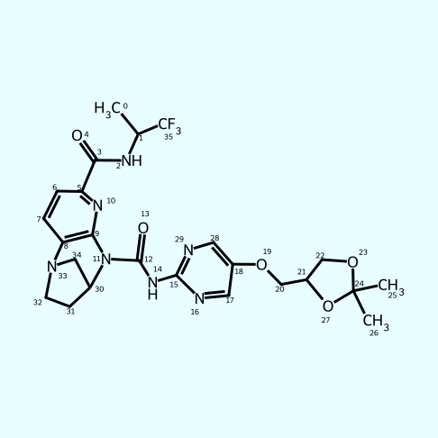 CC(NC(=O)c1ccc2c(n1)N(C(=O)Nc1ncc(OCC3COC(C)(C)O3)cn1)C1CCN2C1)C(F)(F)F